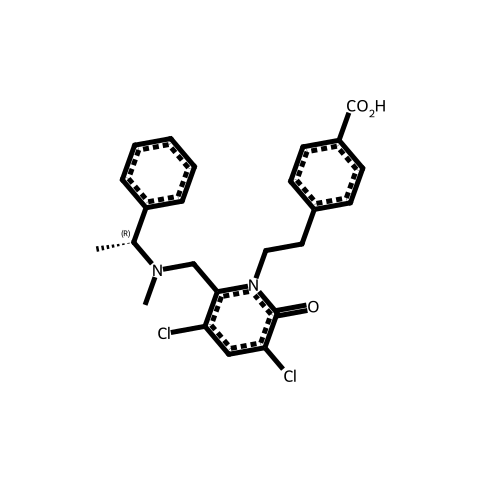 C[C@H](c1ccccc1)N(C)Cc1c(Cl)cc(Cl)c(=O)n1CCc1ccc(C(=O)O)cc1